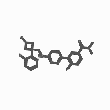 CN(C)C(=O)c1ccc(F)c(-c2ccc(NC[C@]3(c4ncccc4F)C[C@H](F)C3)nn2)c1